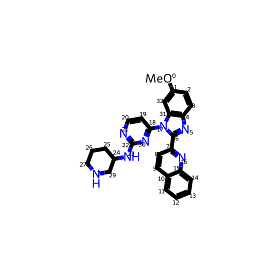 COc1ccc2nc(-c3ccc4ccccc4n3)n(-c3ccnc(NC4CCCNC4)n3)c2c1